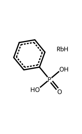 O=P(O)(O)c1ccccc1.[RbH]